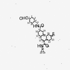 O=Cc1ccc(CNC(=O)c2ccc(/C=C(/C(=O)NC3CC3)c3ccc(F)cc3)cc2)cc1